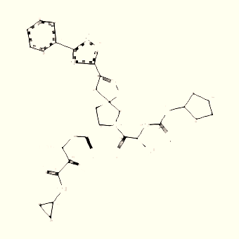 CCC[C@H](NC(=O)[C@@H]1C[C@]2(CC(c3nc(-c4ccccc4)no3)=NO2)CN1C(=O)[C@@H](NC(=O)OC1CCCC1)C(C)(C)C)C(=O)C(=O)NC1CC1